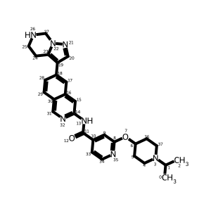 CC(C)N1CCC(Oc2cc(C(=O)Nc3cc4cc(-c5cnn6c5CCNC6)ccc4cn3)ccn2)CC1